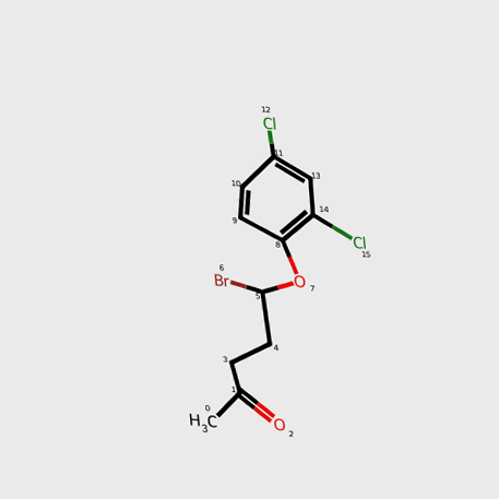 CC(=O)CCC(Br)Oc1ccc(Cl)cc1Cl